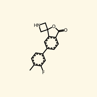 Cc1ccc(-c2ccc3c(c2)C2(CNC2)OC3=O)cc1F